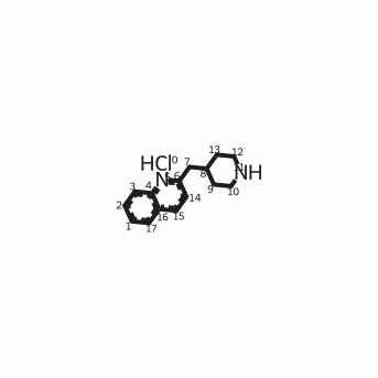 Cl.c1ccc2nc(CC3CCNCC3)ccc2c1